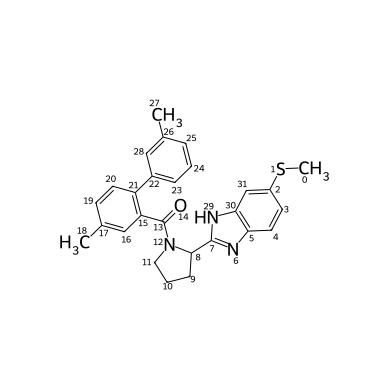 CSc1ccc2nc(C3CCCN3C(=O)c3cc(C)ccc3-c3cccc(C)c3)[nH]c2c1